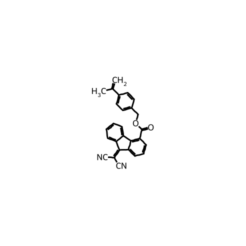 C=C(C)c1ccc(COC(=O)c2cccc3c2-c2ccccc2C3=C(C#N)C#N)cc1